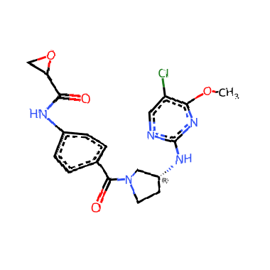 COc1nc(N[C@@H]2CCN(C(=O)c3ccc(NC(=O)C4CO4)cc3)C2)ncc1Cl